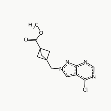 COC(=O)C12CC(Cn3cc4c(Cl)ncnc4n3)(C1)C2